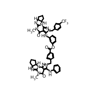 CN1C(=O)c2c(nn(Cc3ccc(C(=O)Oc4cccc(Nc5c6c(nn5Cc5ccc(C(F)(F)F)cc5)N5C(=N[C@@H]7CCC[C@@H]75)N(C)C6=O)c4)cc3)c2Nc2ccccc2)N2C1=N[C@@H]1CCC[C@@H]12